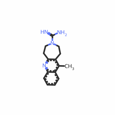 Cc1c2c(nc3ccccc13)CCN(C(=N)N)CC2